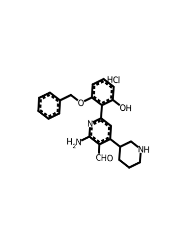 Cl.Nc1nc(-c2c(O)cccc2OCc2ccccc2)cc(C2CCCNC2)c1C=O